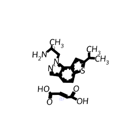 CC(C)c1cc2c(ccc3cnn(C[C@H](C)N)c32)s1.O=C(O)/C=C/C(=O)O